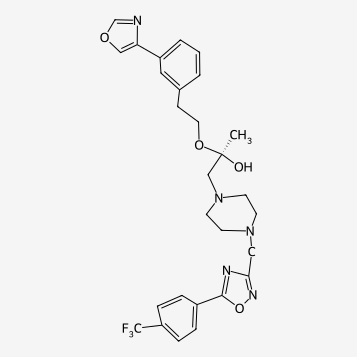 C[C@](O)(CN1CCN(Cc2noc(-c3ccc(C(F)(F)F)cc3)n2)CC1)OCCc1cccc(-c2cocn2)c1